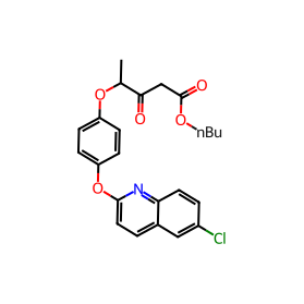 CCCCOC(=O)CC(=O)C(C)Oc1ccc(Oc2ccc3cc(Cl)ccc3n2)cc1